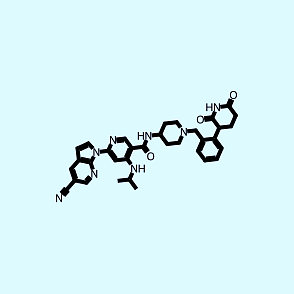 CC(C)Nc1cc(-n2ccc3cc(C#N)cnc32)ncc1C(=O)NC1CCN(Cc2ccccc2C2CCC(=O)NC2=O)CC1